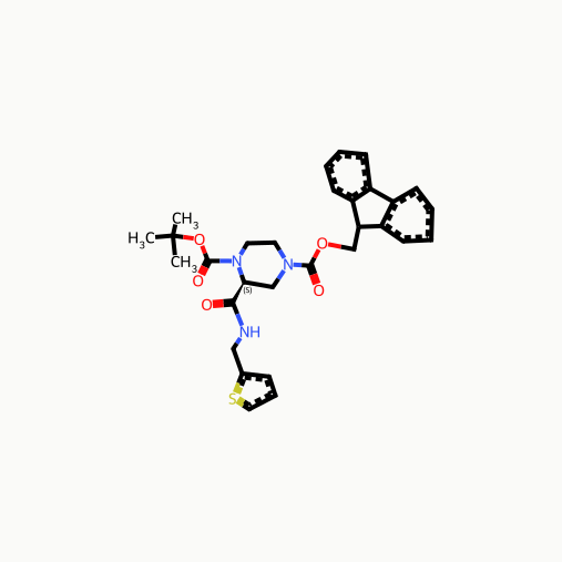 CC(C)(C)OC(=O)N1CCN(C(=O)OCC2c3ccccc3-c3ccccc32)C[C@H]1C(=O)NCc1cccs1